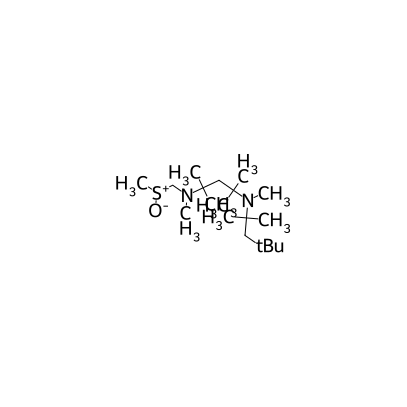 CN(C[S+](C)[O-])C(C)(C)CC(C)(C)N(C)C(C)(C)CC(C)(C)C